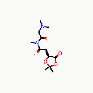 CN(C)CC(=O)N(C)C(=O)/C=C1\OC(C)(C)OC1=O